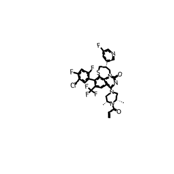 C=CC(=O)N1[C@H](C)CN(c2nc(=O)n3c4c(c(-c5cc(Cl)c(F)cc5F)c(C(F)(F)F)cc24)SC[C@H](c2cncc(F)c2)C3)C[C@@H]1C